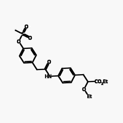 CCOC(=O)C(Cc1ccc(NC(=O)Cc2ccc(OS(C)(=O)=O)cc2)cc1)OCC